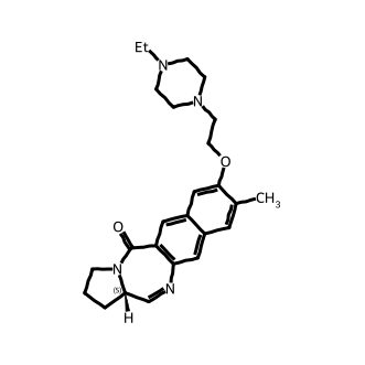 CCN1CCN(CCOc2cc3cc4c(cc3cc2C)N=C[C@@H]2CCCN2C4=O)CC1